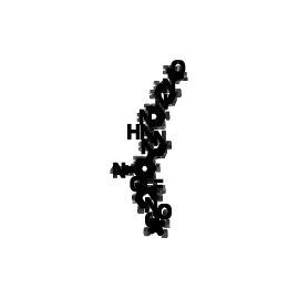 CC(C)(C)OC(=O)N1CCC(Oc2ccc(-c3ccnc(Nc4ccc(N5CCN(C6COC6)CC5)cn4)n3)cc2C#N)C(F)(F)C1